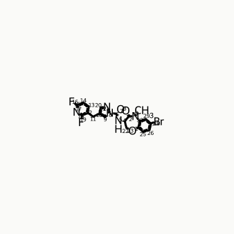 CN1C(=O)[C@@H](NC(=O)n2cc(Cc3ccc(F)nc3F)cn2)COc2ccc(Br)cc21